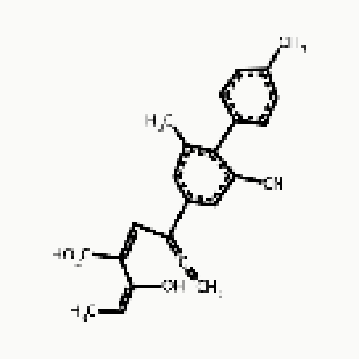 C=C=C(/C=C(C(=O)O)\C(O)=C/C)c1cc(C)c(-c2ccc(C)cc2)c(C#N)c1